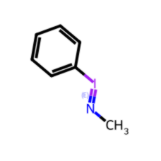 C/N=I/c1ccccc1